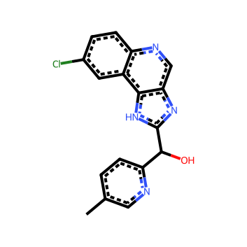 Cc1ccc(C(O)c2nc3cnc4ccc(Cl)cc4c3[nH]2)nc1